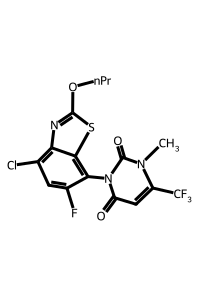 CCCOc1nc2c(Cl)cc(F)c(-n3c(=O)cc(C(F)(F)F)n(C)c3=O)c2s1